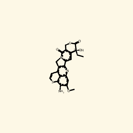 CC[C@@]1(O)C(=O)OCc2c1cc1n(c2=O)Cc2c-1nc1cc(OC)c(N)c3c1c2C=CS3